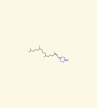 CC(=CCN1CCNCC1)CCCC(C)CCCC(C)CCCC(C)C